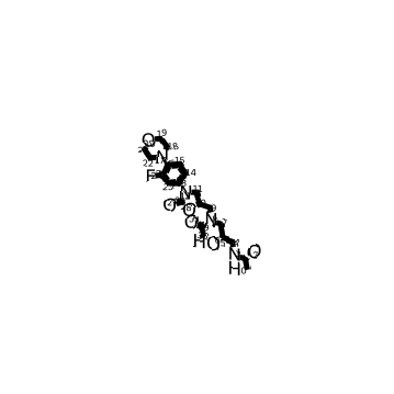 CC(=O)NCC(O)CN(CC1CN(c2ccc(N3CCOCC3)c(F)c2)C(=O)O1)C(C)=O